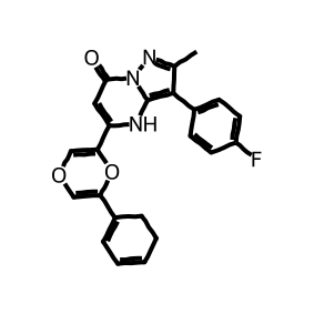 Cc1nn2c(=O)cc(C3=COC=C(C4=CC=CCC4)O3)[nH]c2c1-c1ccc(F)cc1